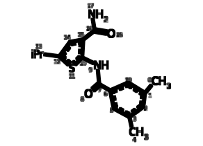 Cc1cc(C)cc(C(=O)Nc2sc(C(C)C)cc2C(N)=O)c1